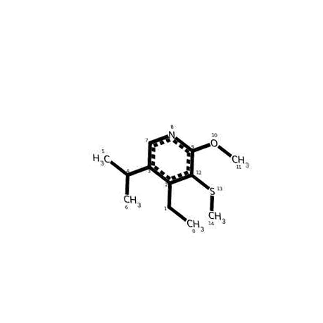 CCc1c(C(C)C)cnc(OC)c1SC